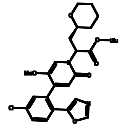 COc1cn(C(C[C@@H]2CCCCO2)C(=O)OC(C)(C)C)c(=O)cc1-c1cc(Cl)ccc1-c1cnco1